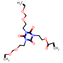 C=COCOCCn1c(=O)n(CCOCOC=C)c(=O)n(CCOC(=O)C=C)c1=O